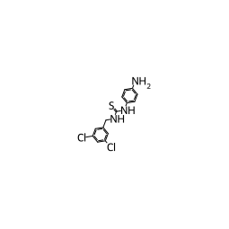 Nc1ccc(NC(=S)NCc2cc(Cl)cc(Cl)c2)cc1